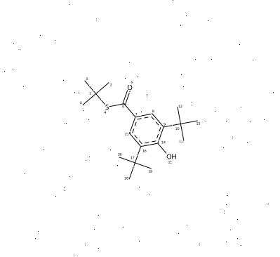 CC(C)(C)SC(=O)c1cc(C(C)(C)C)c(O)c(C(C)(C)C)c1